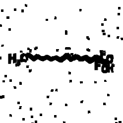 CCCCCCCCCCCCCCCCC(F)(F)C(=O)O